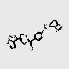 Cn1nccc1C1(O)CCN(C(=O)c2ccc(NSc3cccc4scnc34)cc2)CC1